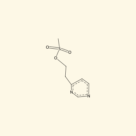 CS(=O)(=O)OCCc1ccncn1